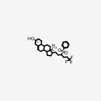 CC12CCC3C4CC[C@H](O)CC4=CCC3C1CCC2CCC(CCC(F)(F)F)S(=O)(=O)c1ccccc1